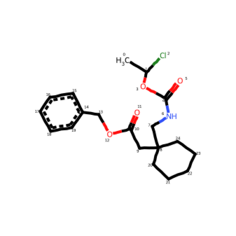 CC(Cl)OC(=O)NCC1(CC(=O)OCc2ccccc2)CCCCC1